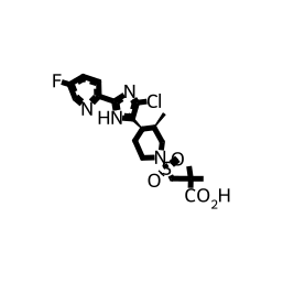 C[C@H]1CN(S(=O)(=O)CC(C)(C)C(=O)O)CC[C@H]1c1[nH]c(-c2ccc(F)cn2)nc1Cl